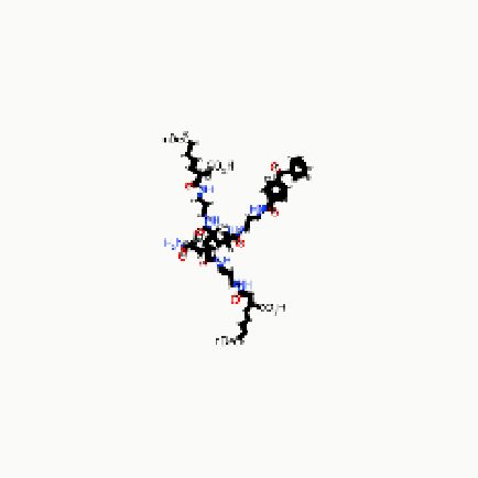 CCCCCCCCCCCCCCC(CC(=O)NCCCNC(=O)C(C)(CC(CC)C(N)=O)CC(C)(CC(C)(C)C(=O)NCCCNC(=O)c1ccc(C(=O)c2ccccc2)cc1)C(=O)NCCCNC(=O)C(CCCCCCCCCCCCCC)CC(=O)O)C(=O)O